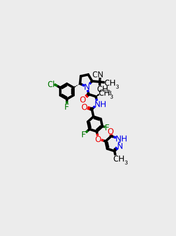 Cc1cc(Oc2c(F)cc(C(=O)N[C@H](C)C(=O)N3C(C(C)(C)C#N)CC[C@H]3c3cc(F)cc(Cl)c3)cc2F)c(=O)[nH]n1